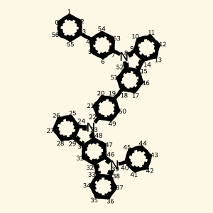 c1ccc(-c2ccc(-n3c4ccccc4c4ccc(-c5ccc(-n6c7ccccc7c7cc8c9ccccc9n(-c9ccccc9)c8cc76)cc5)cc43)cc2)cc1